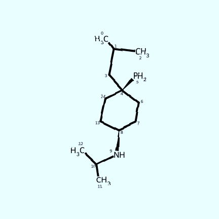 CC(C)C[C@]1(P)CC[C@@H](NC(C)C)CC1